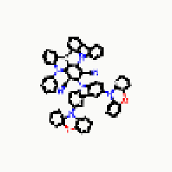 N#Cc1c2c3c(c(C#N)c1-n1c4ccc(N5c6ccccc6Oc6ccccc65)cc4c4cc(N5c6ccccc6Oc6ccccc65)ccc41)-n1c4ccccc4c4cccc(c41)B3c1ccccc1N2c1ccccc1